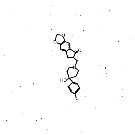 O=C1c2cc3c(cc2CC1CN1CCC(O)(c2ccc(F)cc2)CC1)OCO3